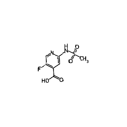 CS(=O)(=O)Nc1cc(C(=O)O)c(F)cn1